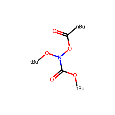 CCCCC(=O)ON(OC(C)(C)C)C(=O)OC(C)(C)C